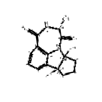 C[C@H]1NC(=O)c2cccc3c2N(C1=O)[C@@H]1CCC[C@H]31